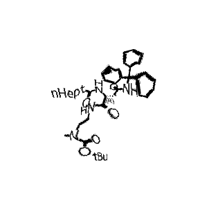 CCCCCCCC(=O)N[C@H](CC(=O)NC(c1ccccc1)(c1ccccc1)c1ccccc1)C(=O)NCCN(C)C(=O)OC(C)(C)C